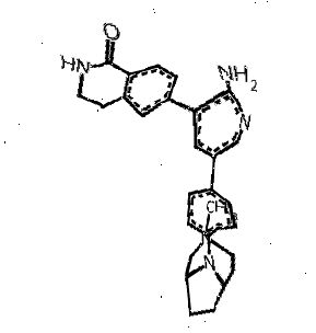 CN1CC2CCC(C1)N2c1ccc(-c2cnc(N)c(-c3ccc4c(c3)CCNC4=O)c2)cc1